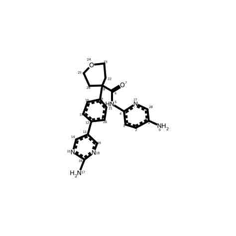 Nc1ccc(NC(=O)C2(c3ccc(-c4cnc(N)nc4)cc3)CCOCC2)nc1